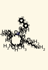 C[C@@H]1NC(=O)C(N)CNC(=O)[C@H](C2CCNC(=N)N2)NC(=O)/C(=C/NC(=O)Nc2cccc(-c3ccccc3)c2)NC(=O)[C@H](CNC(=O)CC(N)CCCN)NC1=O